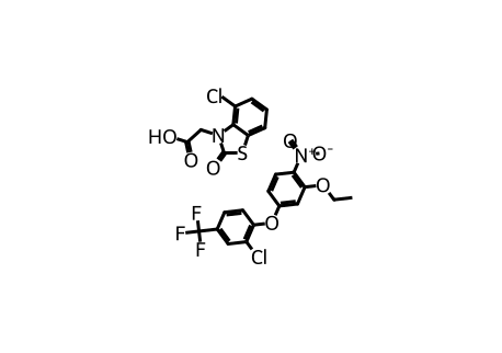 CCOc1cc(Oc2ccc(C(F)(F)F)cc2Cl)ccc1[N+](=O)[O-].O=C(O)Cn1c(=O)sc2cccc(Cl)c21